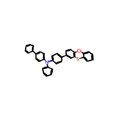 c1ccc(-c2ccc(N(c3ccccc3)c3ccc(-c4ccc5c(c4)Sc4ccccc4O5)cc3)cc2)cc1